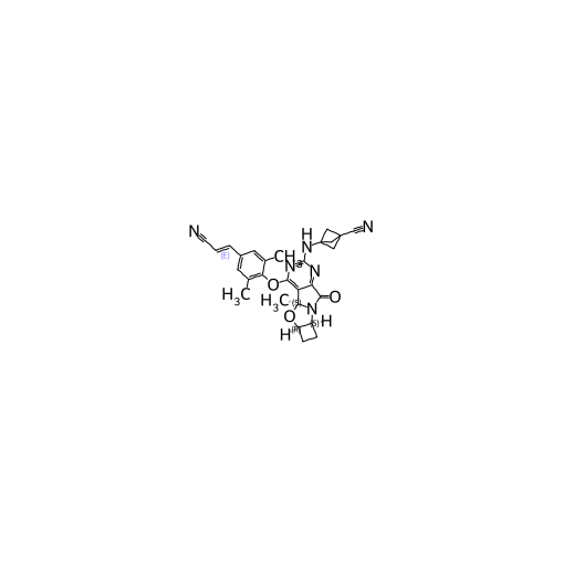 Cc1cc(/C=C/C#N)cc(C)c1Oc1nc(NC23CC(C#N)(C2)C3)nc2c1[C@]1(C)O[C@@H]3CC[C@@H]3N1C2=O